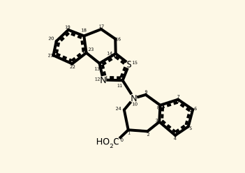 O=C(O)C1Cc2ccccc2CN(c2nc3c(s2)CCc2ccccc2-3)C1